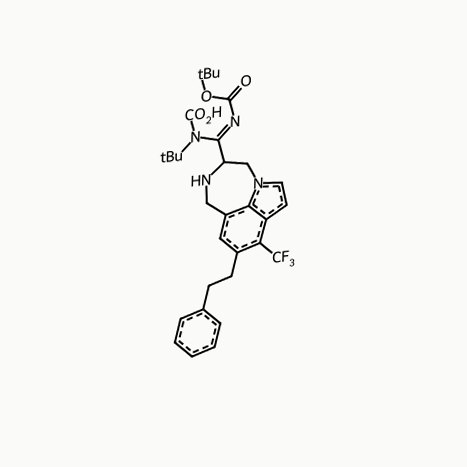 CC(C)(C)OC(=O)N=C(C1Cn2ccc3c(C(F)(F)F)c(CCc4ccccc4)cc(c32)CN1)N(C(=O)O)C(C)(C)C